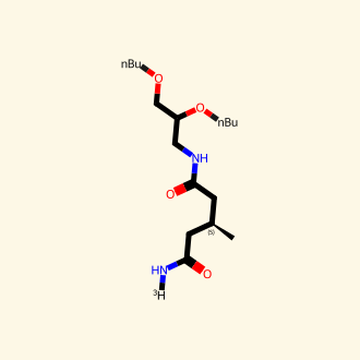 [3H]NC(=O)C[C@H](C)CC(=O)NCC(COCCCC)OCCCC